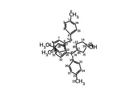 Cc1ccc(P(c2ccc(C)cc2)[C@@H]2CNC[C@H]2P(c2ccc(C)cc2)c2ccc(C)cc2)cc1.Cl